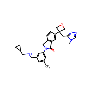 Cn1cnnc1CC1(c2ccc3c(c2)C(=O)N(c2cc(CNCC4CC4)cc(C(F)(F)F)c2)C3)COC1